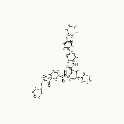 CN(CCN1CCOCC1)C(=O)c1cccc(C(=O)Nc2ccc(N3CCCCC3)cc2C(=O)Nc2ccc(-c3cnc(OC4CCCCC4)nc3)nc2)c1